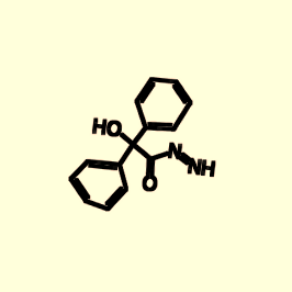 N=NC(=O)C(O)(c1ccccc1)c1ccccc1